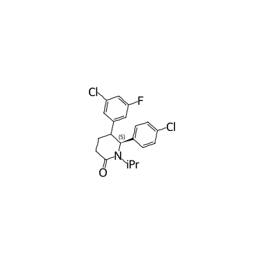 CC(C)N1C(=O)CCC(c2cc(F)cc(Cl)c2)[C@H]1c1ccc(Cl)cc1